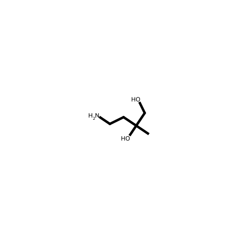 CC(O)(CO)CCN